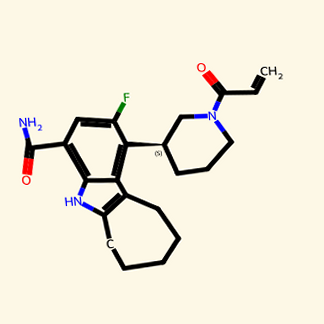 C=CC(=O)N1CCC[C@@H](c2c(F)cc(C(N)=O)c3[nH]c4c(c23)CCCCC4)C1